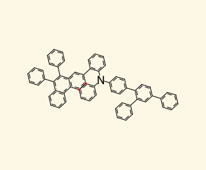 c1ccc(-c2ccc(-c3ccc(N(c4ccccc4)c4ccccc4-c4ccc5c(c4)c(-c4ccccc4)c(-c4ccccc4)c4ccccc45)cc3)c(-c3ccccc3)c2)cc1